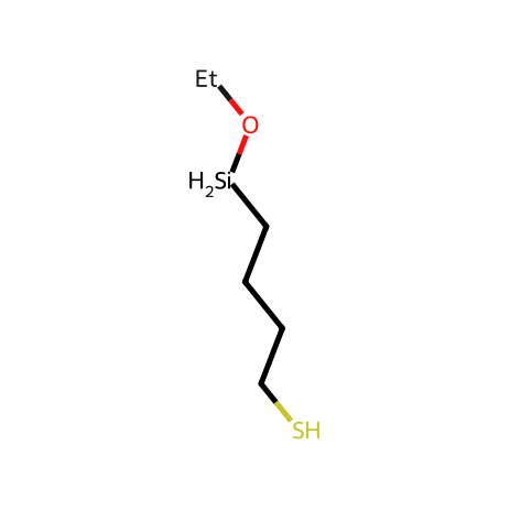 CCO[SiH2]CCCCS